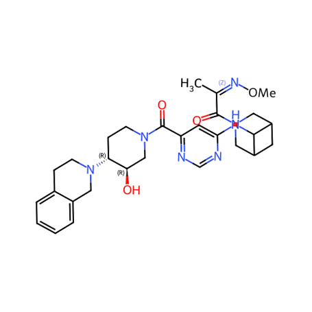 CO/N=C(/C)C(=O)N1CC2CC(C1)C2Nc1cc(C(=O)N2CC[C@@H](N3CCc4ccccc4C3)[C@H](O)C2)ncn1